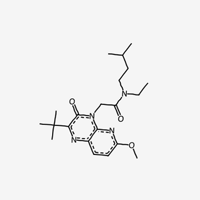 CCN(CCC(C)C)C(=O)Cn1c(=O)c(C(C)(C)C)nc2ccc(OC)nc21